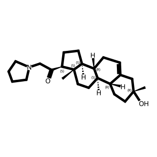 C[C@@]1(O)CC[C@H]2C(=CC[C@@H]3[C@@H]2CC[C@]2(C)[C@@H](C(=O)CN4CCCC4)CC[C@@H]32)C1